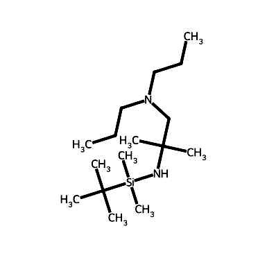 CCCN(CCC)CC(C)(C)N[Si](C)(C)C(C)(C)C